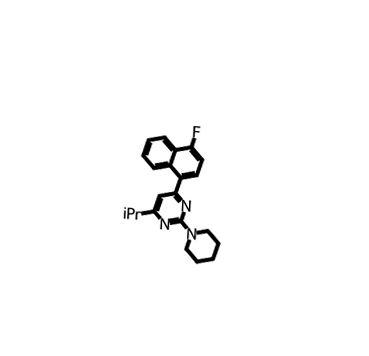 CC(C)c1cc(-c2ccc(F)c3ccccc23)nc(N2CCCCC2)n1